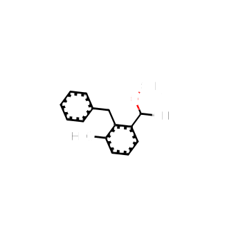 COC(C)c1cccc(C)c1Cc1ccccc1